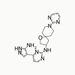 Nc1[nH]ncc1-c1ccnc(NC2COC3(CCN(c4ncccn4)CC3)C2)n1